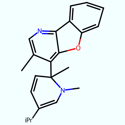 Cc1cnc2c(oc3ccccc32)c1C1(C)C=CC(C(C)C)=CN1C